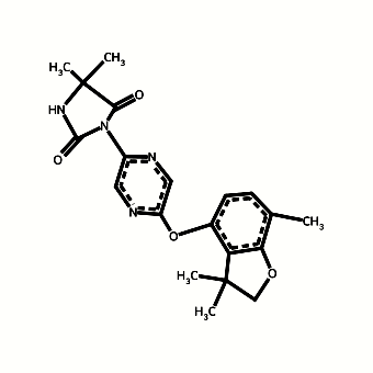 Cc1ccc(Oc2cnc(N3C(=O)NC(C)(C)C3=O)cn2)c2c1OCC2(C)C